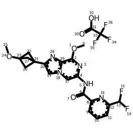 COc1nc(NC(=O)c2cccc(C(F)F)n2)cn2cc(C34CC(OC)(C3)C4)nc12.O=C(O)C(F)(F)F